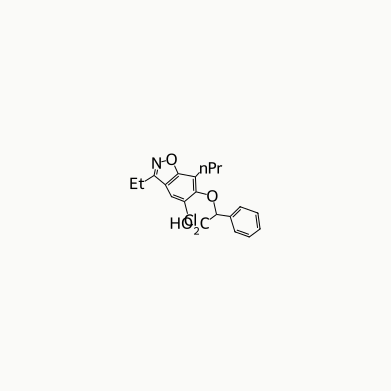 CCCc1c(OC(C(=O)O)c2ccccc2)c(Cl)cc2c(CC)noc12